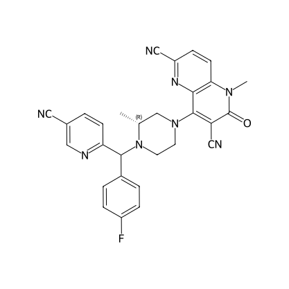 C[C@@H]1CN(c2c(C#N)c(=O)n(C)c3ccc(C#N)nc23)CCN1C(c1ccc(F)cc1)c1ccc(C#N)cn1